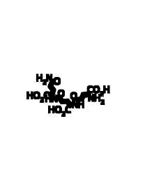 NC(=O)CC[C@H](NC(=O)CC[C@H](NC(=O)CC[C@H](N)C(=O)O)C(=O)O)C(=O)O